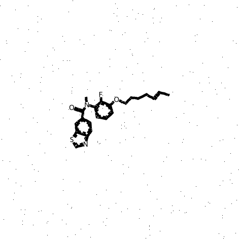 CC=CCCCCOc1cccc(N(C)C(=O)c2ccc3ncsc3c2)c1F